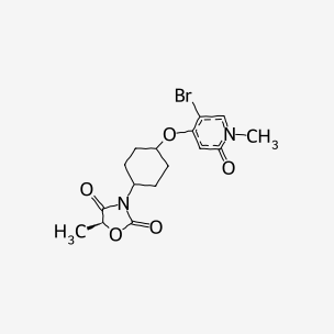 C[C@@H]1OC(=O)N(C2CCC(Oc3cc(=O)n(C)cc3Br)CC2)C1=O